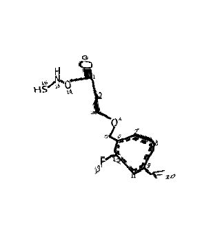 O=C(CCOCc1ccc(F)cc1F)ONS